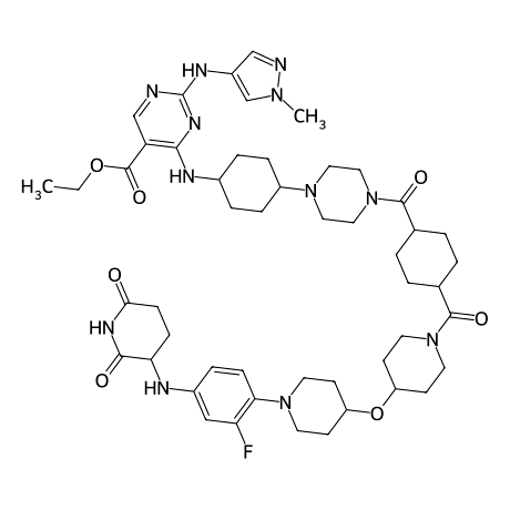 CCOC(=O)c1cnc(Nc2cnn(C)c2)nc1NC1CCC(N2CCN(C(=O)C3CCC(C(=O)N4CCC(OC5CCN(c6ccc(NC7CCC(=O)NC7=O)cc6F)CC5)CC4)CC3)CC2)CC1